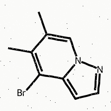 Cc1cn2nccc2c(Br)c1C